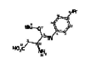 CC(C)c1ccc(N=C(OC(C)(C)C)[C@@H](N)CC(=O)O)cc1